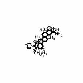 COC(=O)C(C(=O)[C@]12CCC(C)(C)CC1C1=CCC3[C@@]4(C)Cc5c(n[nH]c5N)C(C)(C)C4CC[C@@]3(C)[C@]1(C)CC2)N1CCOCC1